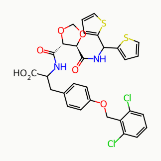 O=C(O)C(Cc1ccc(OCc2c(Cl)cccc2Cl)cc1)NC(=O)[C@@H]1OCO[C@H]1C(=O)NC(c1cccs1)c1cccs1